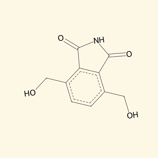 O=C1NC(=O)c2c(CO)ccc(CO)c21